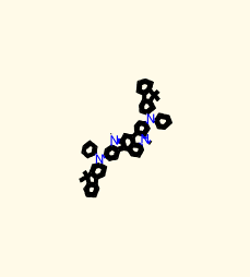 CN1c2cc(N(c3ccccc3)c3ccc4c(c3)C(C)(C)c3ccccc3-4)ccc2-c2cc3c(c4cccc1c24)c1ccc(N(C2=CC=CCC2)c2ccc4c(c2)C(C)(C)c2ccccc2-4)cc1n3C